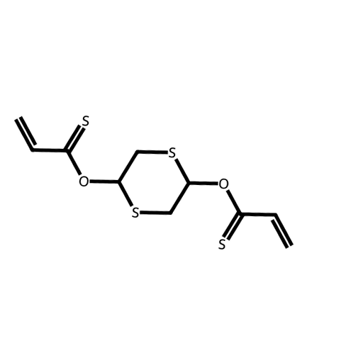 C=CC(=S)OC1CSC(OC(=S)C=C)CS1